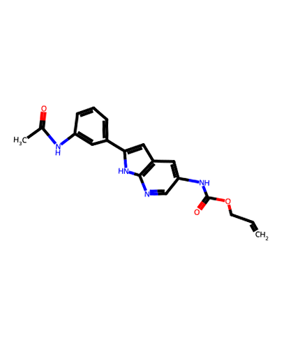 C=CCOC(=O)Nc1cnc2[nH]c(-c3cccc(NC(C)=O)c3)cc2c1